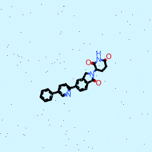 O=C1CCC(N2Cc3cc(-c4ccc(-c5ccccc5)cn4)ccc3C2=O)C(=O)N1